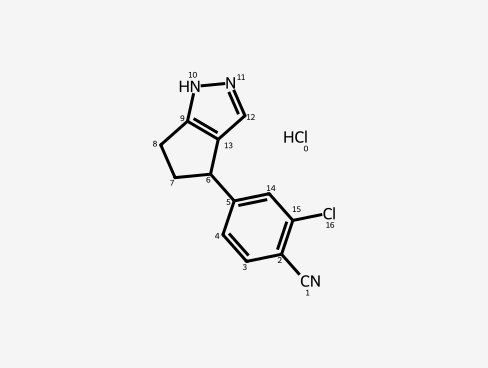 Cl.N#Cc1ccc(C2CCc3[nH]ncc32)cc1Cl